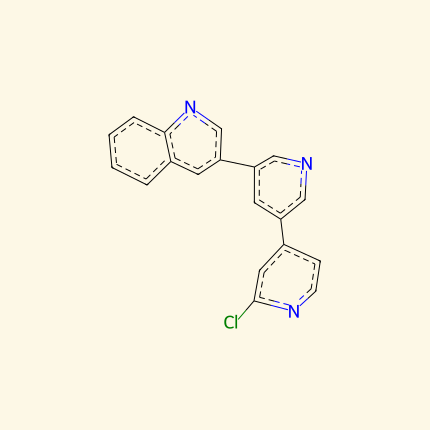 Clc1cc(-c2cncc(-c3cnc4ccccc4c3)c2)ccn1